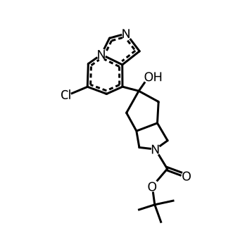 CC(C)(C)OC(=O)N1CC2CC(O)(c3cc(Cl)cn4cncc34)CC2C1